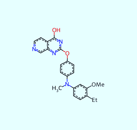 CCc1ccc(N(C)c2ccc(Oc3nc(O)c4ccncc4n3)cc2)cc1OC